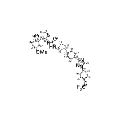 COc1ccc(C(C)C)c(N2CCS/C2=N\C(=O)NC2CCC(c3ccc(-c4ncn(-c5ccc(OC(F)(F)F)cc5)n4)cc3)C2)c1